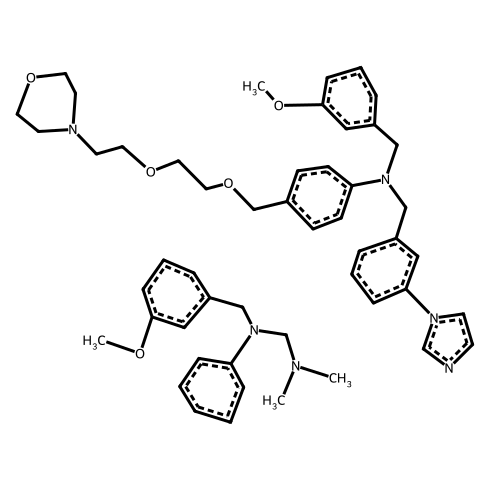 COc1cccc(CN(CN(C)C)c2ccccc2)c1.COc1cccc(CN(Cc2cccc(-n3ccnc3)c2)c2ccc(COCCOCCN3CCOCC3)cc2)c1